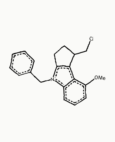 COc1cccc2c1c1c(n2Cc2ccccc2)CCC1CCl